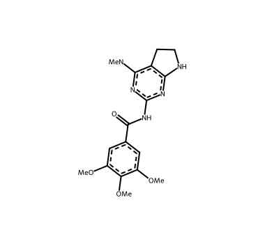 CNc1nc(NC(=O)c2cc(OC)c(OC)c(OC)c2)nc2c1CCN2